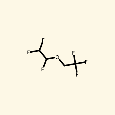 FC(F)C(F)OCC(F)(F)F